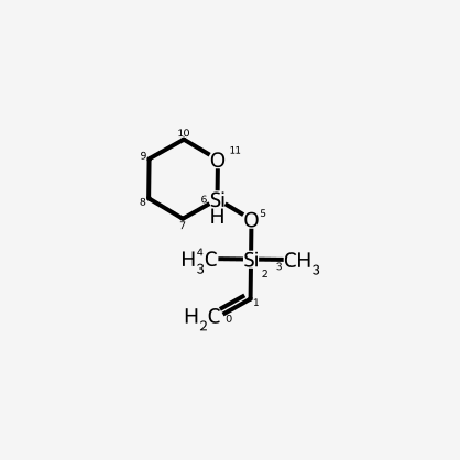 C=C[Si](C)(C)O[SiH]1CCCCO1